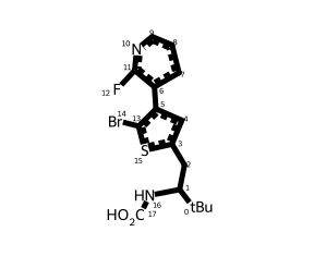 CC(C)(C)C(Cc1cc(-c2cccnc2F)c(Br)s1)NC(=O)O